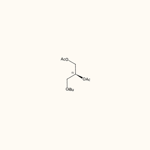 CC(=O)OC[C@H](COCC(C)C)OC(C)=O